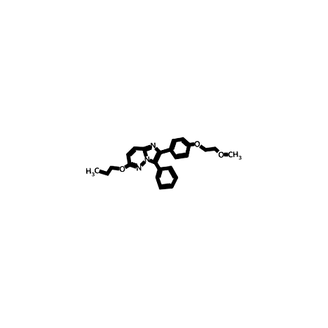 CCCOc1ccc2nc(-c3ccc(OCCOC)cc3)c(-c3ccccc3)n2n1